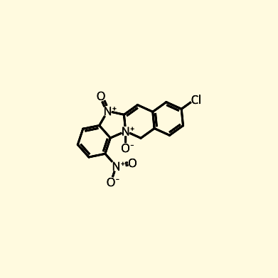 O=[N+]([O-])c1cccc2c1[N+]1([O-])Cc3ccc(Cl)cc3C=C1[N+]2=O